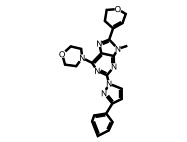 Cn1c(C2=CCOCC2)nc2c(N3CCOCC3)nc(-n3ccc(-c4ccccc4)n3)nc21